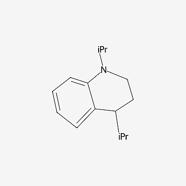 CC(C)C1CCN(C(C)C)c2ccccc21